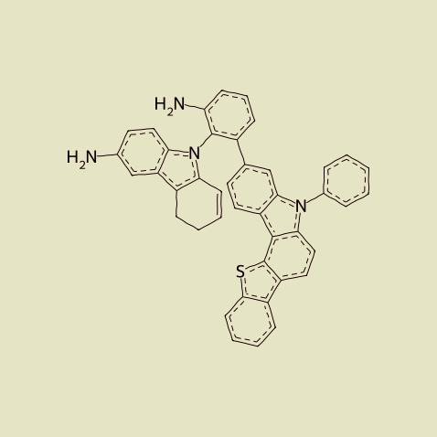 Nc1ccc2c(c1)c1c(n2-c2c(N)cccc2-c2ccc3c4c5sc6ccccc6c5ccc4n(-c4ccccc4)c3c2)C=CCC1